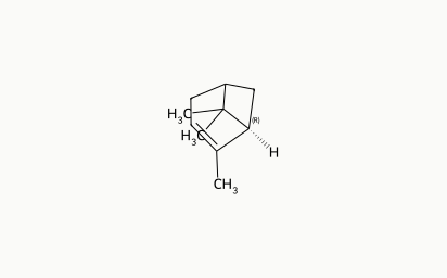 CC1=CCC2C[C@@H]1C2(C)C